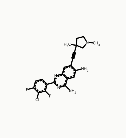 CN1CCC(C)(C#Cc2cc3nc(-c4ccc(F)c(Cl)c4F)nc(N)c3cc2N)C1